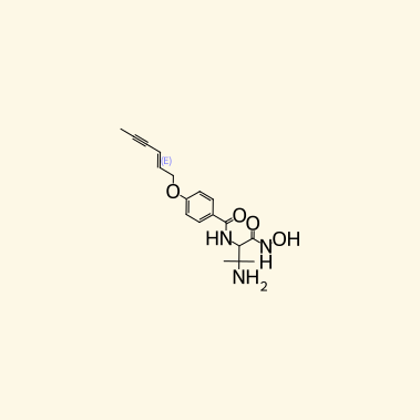 CC#C/C=C/COc1ccc(C(=O)NC(C(=O)NO)C(C)(C)N)cc1